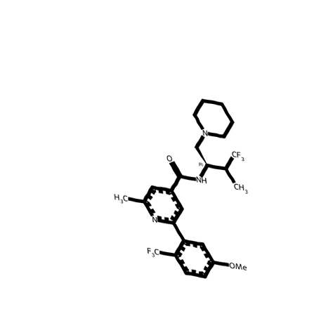 COc1ccc(C(F)(F)F)c(-c2cc(C(=O)N[C@@H](CN3CCCCC3)C(C)C(F)(F)F)cc(C)n2)c1